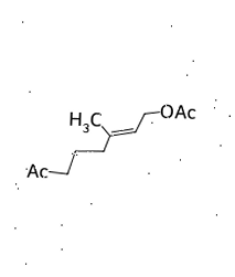 CC(=O)CCC/C(C)=C/COC(C)=O